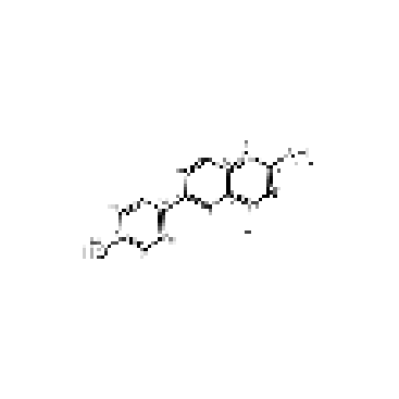 Cc1nc(N)nc2ccc(-c3ccc(O)cc3)cc12